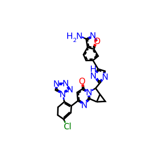 Nc1noc2cc(-c3cnc(C4C5CC5c5nc(C6=C(n7cnnn7)CCC(Cl)=C6)cc(=O)n54)[nH]3)ccc12